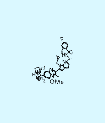 COc1cc(C(=O)N2[C@H]3CC[C@@H]2[C@H](N)C3)cc2nc(-c3cc4ccc([C@@H](C)NC(=O)c5ccc(F)cc5F)nc4n3CC3CC3)c(C)n12